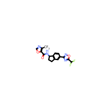 O=C(NC1CCc2cc(-c3noc(C(F)F)n3)ccc21)c1ocnc1C(F)(F)F